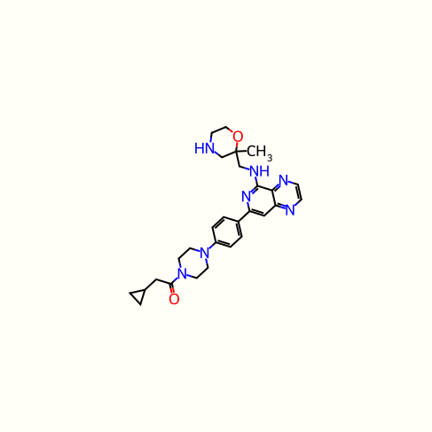 CC1(CNc2nc(-c3ccc(N4CCN(C(=O)CC5CC5)CC4)cc3)cc3nccnc23)CNCCO1